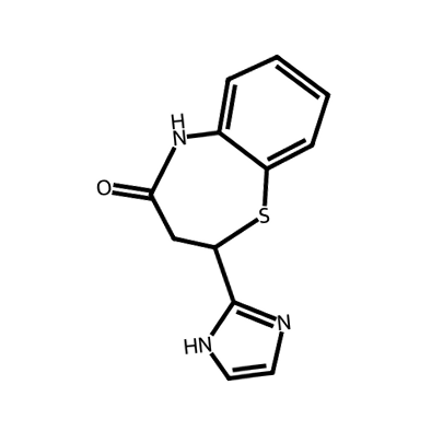 O=C1CC(c2ncc[nH]2)Sc2ccccc2N1